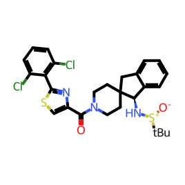 CC(C)(C)[S+]([O-])N[C@@H]1c2ccccc2CC12CCN(C(=O)c1csc(-c3c(Cl)cccc3Cl)n1)CC2